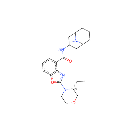 CC[C@@H]1COCCN1c1nc2c(C(=O)NC3CC4CCCC(C3)N4C)cccc2o1